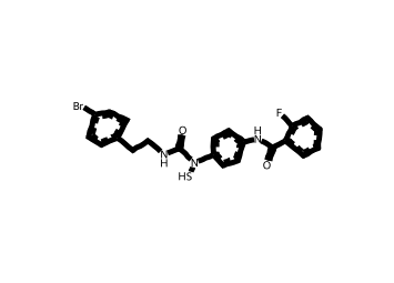 O=C(Nc1ccc(N(S)C(=O)NCCc2ccc(Br)cc2)cc1)c1ccccc1F